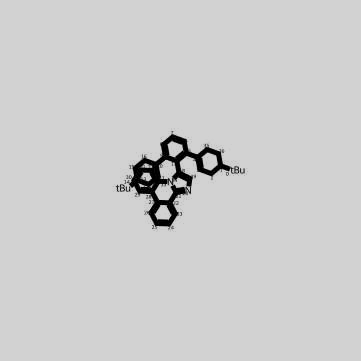 CC(C)(C)C1CC=C(c2cccc(C3=CCC(C(C)(C)C)CC3)c2-c2cnc3c4ccccc4c4ccccc4n23)CC1